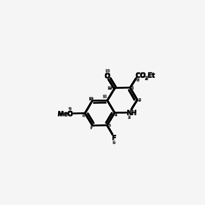 CCOC(=O)c1c[nH]c2c(F)cc(OC)cc2c1=O